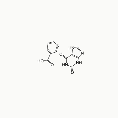 O=C(O)c1cccnc1.O=c1[nH]c(=O)c2[nH]cnc2[nH]1